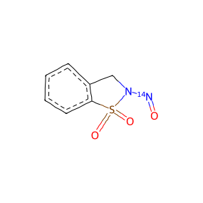 O=[14N]N1Cc2ccccc2S1(=O)=O